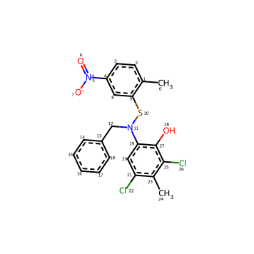 Cc1ccc([N+](=O)[O-])cc1SN(Cc1ccccc1)c1cc(Cl)c(C)c(Cl)c1O